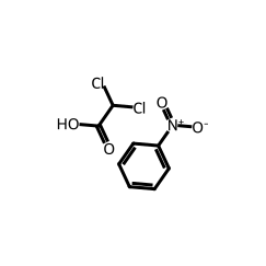 O=C(O)C(Cl)Cl.O=[N+]([O-])c1ccccc1